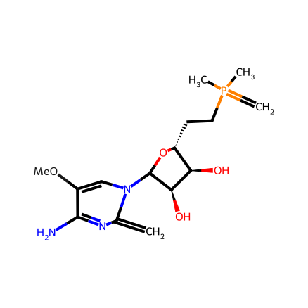 C=C1N=C(N)C(OC)=CN1C1O[C@H](CCP(=C)(C)C)[C@@H](O)[C@H]1O